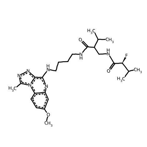 COc1ccc2c(c1)nc(NCCCCNC(=O)C(CNC(=O)[C@@H](F)C(C)C)C(C)C)c1nnc(C)n12